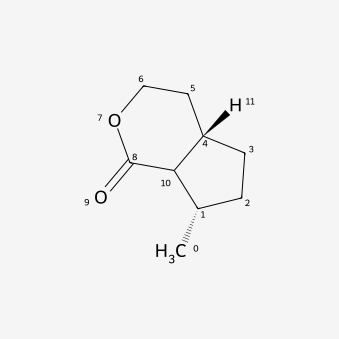 C[C@H]1CC[C@H]2CCOC(=O)C21